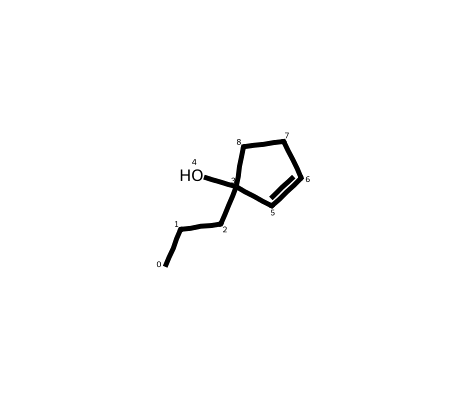 CCCC1(O)C=CCC1